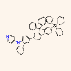 c1ccc(C2(c3ccccc3)c3cc(-c4ccc5c(c4)c4ccccc4n5-c4ccncc4)ccc3-c3ccc([Si](c4ccccc4)(c4ccccc4)c4ccccc4)cc32)cc1